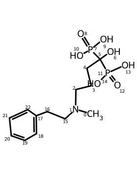 CN(CCCC(O)(P(=O)(O)O)P(=O)(O)O)CCc1ccccc1